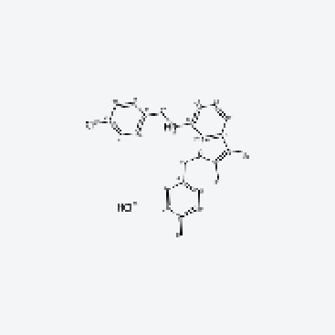 Cc1ccc(Cn2c(C)c(C)c3ccnc(NCc4ccc(Cl)cc4)c32)cc1.Cl